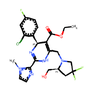 CCOC(=O)C1=C(CN2CC(F)(F)C[C@H]2CO)NC(c2nccn2C)=N[C@H]1c1ccc(F)cc1Cl